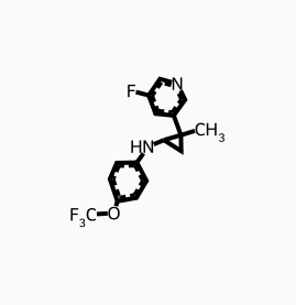 CC1(c2cncc(F)c2)CC1Nc1ccc(OC(F)(F)F)cc1